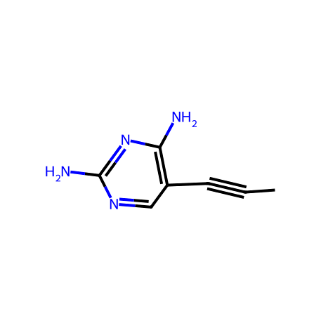 CC#Cc1cnc(N)nc1N